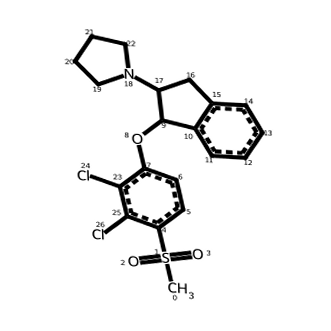 CS(=O)(=O)c1ccc(OC2c3ccccc3CC2N2CCCC2)c(Cl)c1Cl